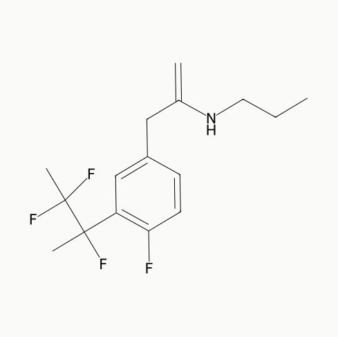 C=C(Cc1ccc(F)c(C(C)(F)C(C)(F)F)c1)NCCC